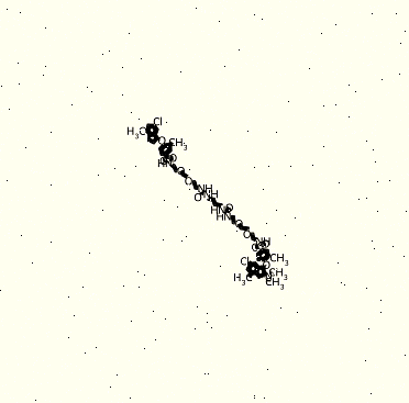 Cc1cc(S(=O)(=O)NCCOCCOCCNC(=O)NCCCCNC(=O)NCCOCCOCCNS(=O)(=O)c2ccc(O[C@H]3c4cc(Cl)cc(C)c4C[C@@H]3N(C)C)c(C)c2)ccc1O[C@@H]1CCc2c(C)cc(Cl)cc21